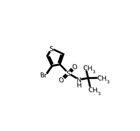 CC(C)(C)NS(=O)(=O)c1cscc1Br